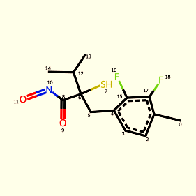 Cc1ccc(CC(S)(C(=O)N=O)C(C)C)c(F)c1F